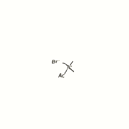 CC(=O)[N+](C)(C)C.[Br-]